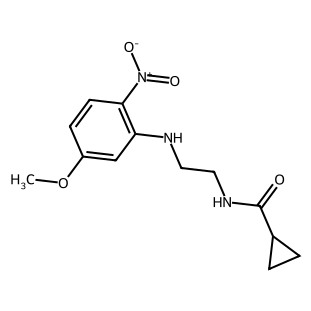 COc1ccc([N+](=O)[O-])c(NCCNC(=O)C2CC2)c1